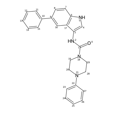 O=C(Nc1c[nH]c2ccc(-c3ccccc3)cc12)N1CCN(c2ccccc2)CC1